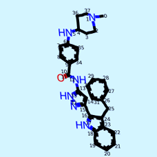 CN1CCC(Nc2ccc(C(=O)Nc3cc(-c4[nH]c5ccccc5c4Cc4ccccc4)n[nH]3)cc2)CC1